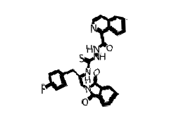 O=C(NNC(=S)N[C@H](Cc1ccc(F)cc1)CN1C(=O)c2ccccc2C1=O)c1nccc2c[c]ccc12